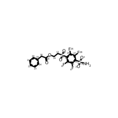 NS(=O)(=O)c1c(F)c(F)c(S(=O)(=O)CCOC(=O)Cc2ccccc2)c(F)c1F